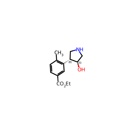 CCOC(=O)c1ccc(C)c([C@@H]2CNC[C@H]2O)c1